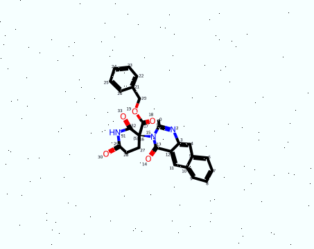 Cc1nc2cc3ccccc3cc2c(=O)n1[C@@]1(C(=O)OCc2ccccc2)CCC(=O)NC1=O